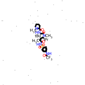 CC(=C[C@H](C(C)C)N(C)C(=O)[C@@H](NC(=O)[C@H]1CCCCN1C)C(C)(C)C)C(=O)NS(=O)(=O)c1ccc(NC(=O)C(F)(F)F)cc1